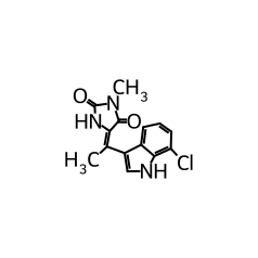 CC(=C1NC(=O)N(C)C1=O)c1c[nH]c2c(Cl)cccc12